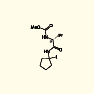 COC(=O)N[C@@H](C(=O)NC1(I)CCCC1)C(C)C